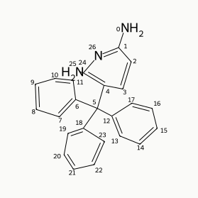 Nc1ccc(C(c2ccccc2)(c2ccccc2)c2ccccc2)c(N)n1